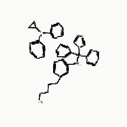 CCCCCc1cccc([SiH2]C(c2ccccc2)(c2ccccc2)n2ccnc2)c1.c1ccc(B(c2ccccc2)C2CC2)cc1